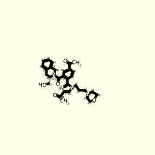 CC(=O)c1ccc(-c2nc(C(C)=O)cn2CCCN2CCOCC2)c(C(=O)N2Cc3ccccc3C[C@H]2CO)c1